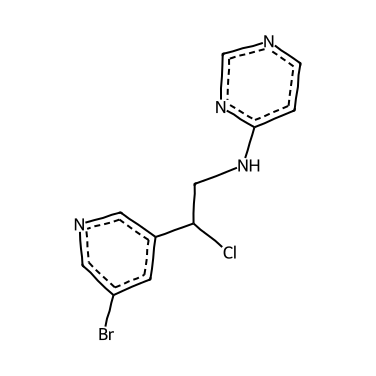 ClC(CNc1ccncn1)c1cncc(Br)c1